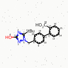 CC(C)(C)c1nc(O)nn1Cc1ccc(-c2ccccc2C(=O)O)cc1